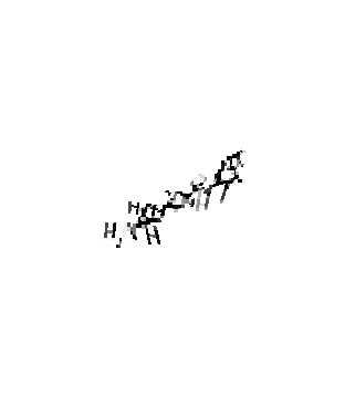 Cc1cn2cc(NC(=O)c3cnc(N4C[C@@H]5[C@@H](N)[C@@H]5C4)cn3)c(F)c(C)c2n1